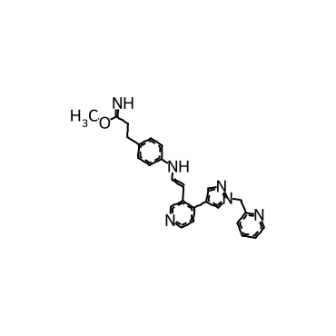 COC(=N)CCc1ccc(N/C=C/c2cnccc2-c2cnn(Cc3ccccn3)c2)cc1